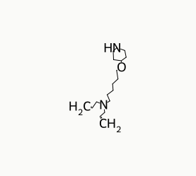 C=CCN(CC=C)CCCCCCOC1CCNCC1